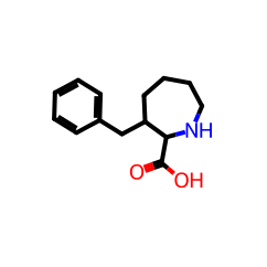 O=C(O)C1NCCCCC1Cc1ccccc1